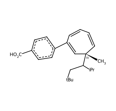 CC(C)C(CC(C)(C)C)[C@@]1(C)C=CC=CC(c2ccc(C(=O)O)cc2)=C1